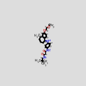 C=C1C=CC=C(Nc2ccc(NC(=O)CC(=O)NCC(C)(C)C)cc2)c2ccc(OCCOC)cc21